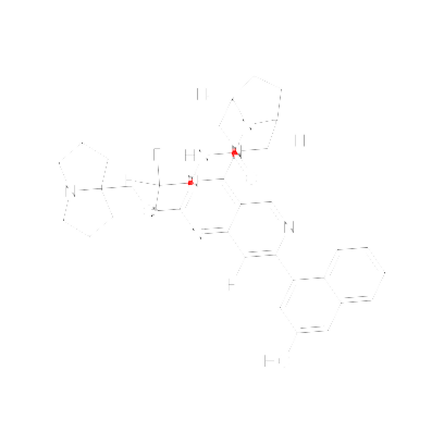 O=C(NCC(F)(F)F)N1[C@@H]2CC[C@H]1CN(c1nc(OCC34CCCN3CCC4)nc3c(F)c(-c4cc(O)cc5ccccc45)ncc13)C2